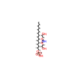 CCCCCCCCCCCCCCCCOS(=O)(=O)O.OCCONOCCO